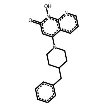 O=c1cc(N2CCC(Cc3ccccc3)CC2)c2cccnc2n1O